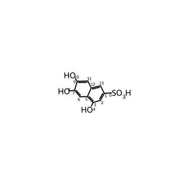 O=S(=O)(O)c1cc(O)c2cc(O)c(O)cc2c1